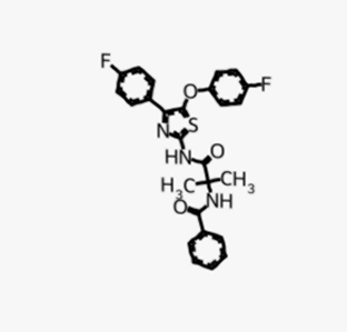 CC(C)(NC(=O)c1ccccc1)C(=O)Nc1nc(-c2ccc(F)cc2)c(Oc2ccc(F)cc2)s1